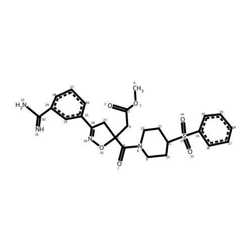 COC(=O)CC1(C(=O)N2CCC(S(=O)(=O)c3ccccc3)CC2)CC(c2cccc(C(=N)N)c2)=NO1